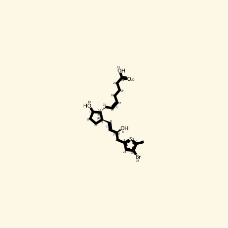 Cc1sc(C[C@H](O)/C=C/[C@H]2CCC(O)[C@@H]2C/C=C\CCCC(=O)O)cc1Br